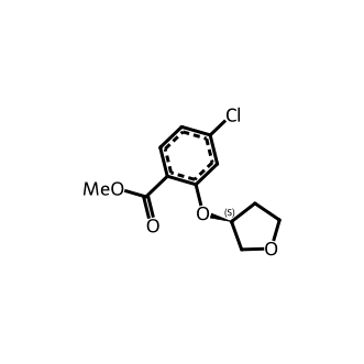 COC(=O)c1ccc(Cl)cc1O[C@H]1CCOC1